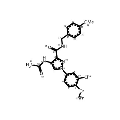 CCCOc1ccc(-n2cc(NC(N)=O)c(C(=O)NCc3ccc(OC)cc3)n2)cc1Cl